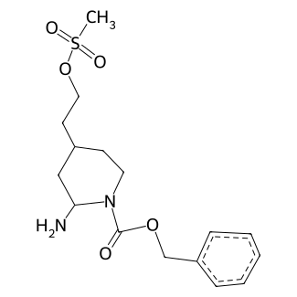 CS(=O)(=O)OCCC1CCN(C(=O)OCc2ccccc2)C(N)C1